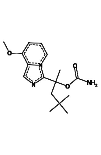 COc1cccn2c(C(C)(CC(C)(C)C)OC(N)=O)ncc12